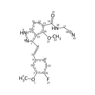 COc1cc(C=Cc2n[nH]c3ccc(C(=O)NCC#N)c(OC)c23)ccc1F